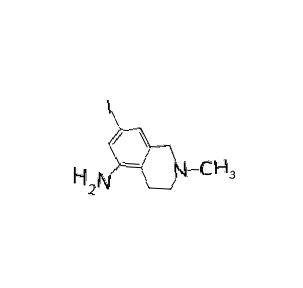 CN1CCc2c(N)cc(I)cc2C1